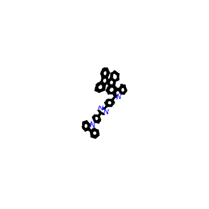 C1=CCC2C(=C1)C1(c3ccccc3-c3ccccc31)c1ccc3c(-c4ccc(-c5ncc(-c6ccc(-n7c8ccccc8c8ccccc87)cc6)cn5)cc4)nc4ccccc4c3c12